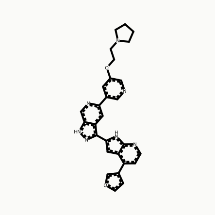 c1cc(-c2ccoc2)c2cc(-c3n[nH]c4cnc(-c5cncc(OCCN6CCCC6)c5)cc34)[nH]c2n1